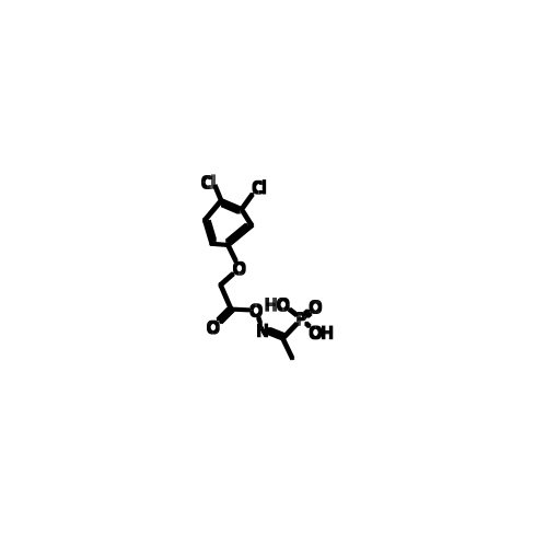 CC(=NOC(=O)COc1ccc(Cl)c(Cl)c1)P(=O)(O)O